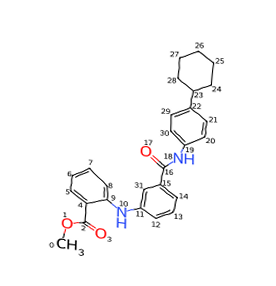 COC(=O)c1ccccc1Nc1cccc(C(=O)Nc2ccc(C3CCCCC3)cc2)c1